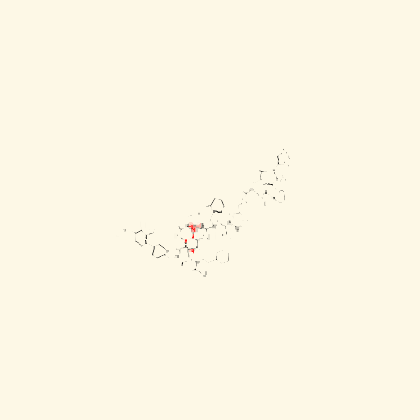 CCc1cc(OC)ccc1-c1ccc(C[C@H](NC(=O)[C@H](CC(=O)O)NC(=O)[C@H](CO)NC(=O)[C@@H](NC(=O)[C@](C)(Cc2ccccc2F)NC(=O)[C@@H](NC(=O)CNC(=O)[C@H](CCC(=O)O)NC(=O)[C@]2(C)CCCN2C(=O)[C@@H](N)Cc2c[nH]cn2)[C@@H](C)O)[C@@H](C)O)C(=O)N[C@@H](CCC2CCCCC2)C(N)=O)cc1